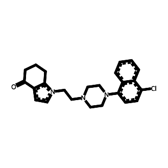 O=C1CCCc2c1ccn2CCN1CCN(c2ccc(Cl)c3ccccc23)CC1